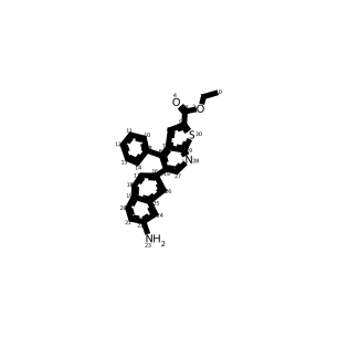 CCOC(=O)c1cc2c(-c3ccccc3)c(-c3ccc4ccc(N)cc4c3)cnc2s1